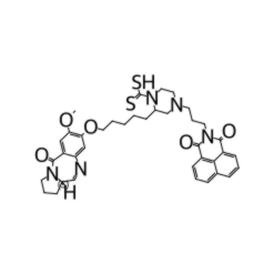 COc1cc2c(cc1OCCCCCC1CN(CCCN3C(=O)c4cccc5cccc(c45)C3=O)CCN1C(=S)S)N=C[C@@H]1CCCN1C2=O